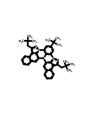 CC(C)(C)Cc1nn2c3c(cc4ccccc4c13)B1c3c-2cc(C(C)(C)C)cc3-n2nc(CC(C)(C)C)c3c4ccccc4cc1c32